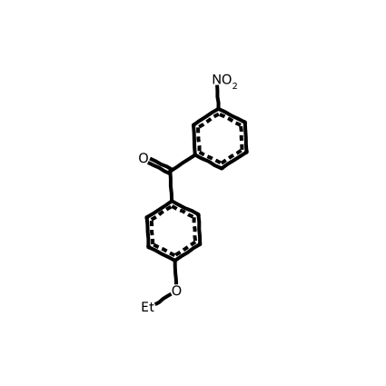 CCOc1ccc(C(=O)c2cccc([N+](=O)[O-])c2)cc1